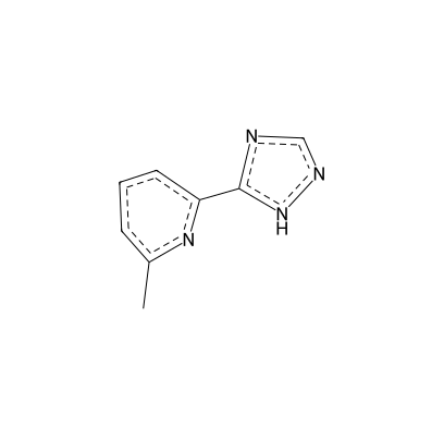 Cc1cccc(-c2ncn[nH]2)n1